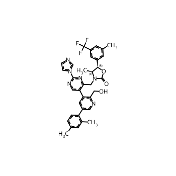 Cc1cc([C@H]2OC(=O)N(Cc3nc(-n4ccnc4)ncc3-c3cc(-c4ccc(C)cc4C)cnc3CO)[C@H]2C)cc(C(F)(F)F)c1